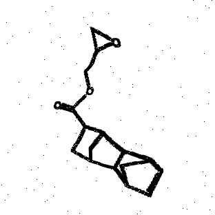 O=C(OCC1CO1)C1CC2CC1C1C3C=CC(C3)C21